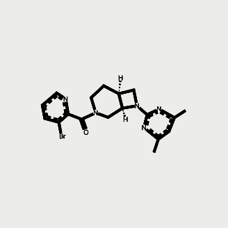 Cc1cc(C)nc(N2C[C@@H]3CCN(C(=O)c4ncccc4Br)C[C@@H]32)n1